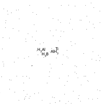 B.[AlH3].[AlH3].[Ti]